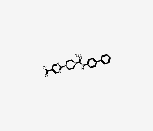 O=C([O-])c1cnc(N2CCN(C(=O)Nc3ccc(-c4ccccc4)cc3)CC2)nc1.[Na+]